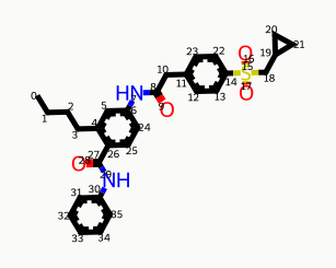 CCCCc1cc(NC(=O)Cc2ccc(S(=O)(=O)CC3CC3)cc2)ccc1C(=O)Nc1ccccc1